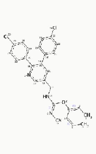 C/C=C\C(=C/C)O/C(=N\C#N)NCc1cnc(-c2ccc(Cl)cc2)c(-c2ccc(Cl)cc2)c1